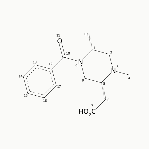 C[C@@H]1CN(C)[C@H](CC(=O)O)CN1C(=O)c1ccccc1